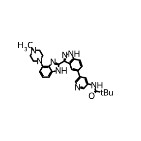 CN1CCN(c2cccc3[nH]c(-c4n[nH]c5ccc(-c6cncc(NC(=O)C(C)(C)C)c6)cc45)nc23)CC1